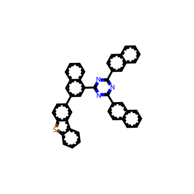 c1ccc2cc(-c3nc(-c4ccc5ccccc5c4)nc(-c4cc(-c5ccc6sc7ccccc7c6c5)cc5ccccc45)n3)ccc2c1